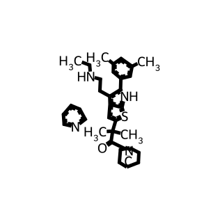 CCNCCc1c(-c2cc(C)cc(C)c2)[nH]c2sc(C(C)(C)C(=O)N3CC4CCC3CC4)cc12.c1ccncc1